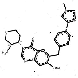 COc1cc2ncn([C@H]3CCOC[C@@H]3N)c(=O)c2cc1Cc1ccc(-c2cn(C)cn2)cc1